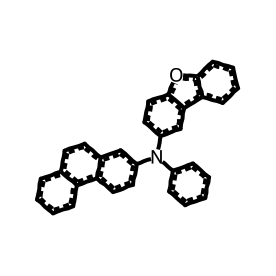 c1ccc(N(c2ccc3c(ccc4ccccc43)c2)c2ccc3oc4ccccc4c3c2)cc1